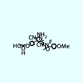 [C-]#[N+]c1c(N)nc(SCc2nc(-c3ccc(OC)cc3F)oc2C)c(C#N)c1-c1ccc(OC[C@H](O)CO)cc1